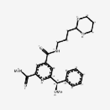 CNC(=O)c1cc(C(=O)NCCCC2OCCCO2)cc([C@H](OC)c2ccccc2)n1